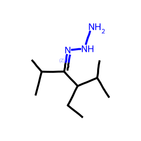 CCC(/C(=N\NN)C(C)C)C(C)C